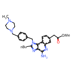 CCCCc1nc2c(N)nc3cc(CC(=O)OC)ccc3c2n1Cc1ccc(CN2CCN(C)CC2)cc1